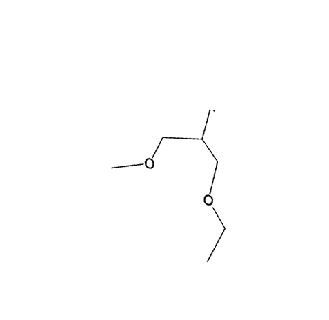 [CH2]C(COC)COCC